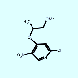 COC[C@H](C)Oc1cc(Cl)ncc1[N+](=O)[O-]